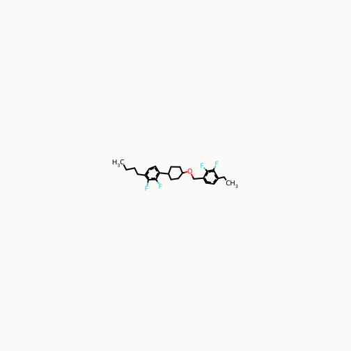 CCCCc1ccc(C2CCC(OCc3ccc(CC)c(F)c3F)CC2)c(F)c1F